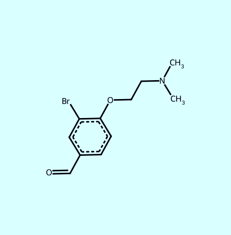 CN(C)CCOc1ccc(C=O)cc1Br